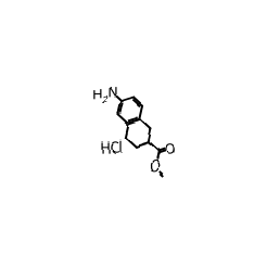 COC(=O)C1CCc2cc(N)ccc2C1.Cl